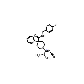 CN(C)/C(=N\C#N)N1CCC(C(=O)NCc2ccc(F)cc2)(c2ccccc2)CC1